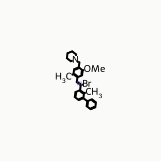 COc1cc(/C=C(\Br)c2cccc(-c3ccccc3)c2C)c(C)cc1CN1CCCCC1